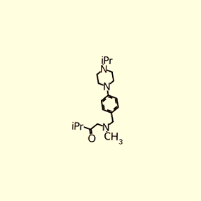 CC(C)C(=O)CN(C)Cc1ccc(N2CCN(C(C)C)CC2)cc1